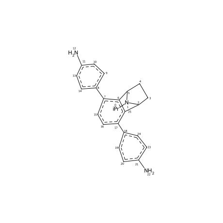 CC(C)N1C2CCC1c1c(-c3ccc(N)cc3)ccc(-c3ccc(N)cc3)c12